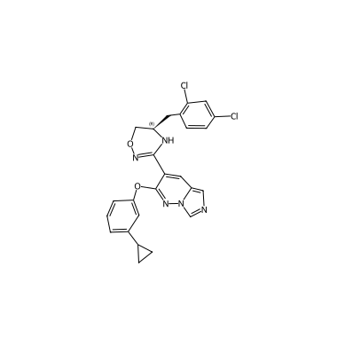 Clc1ccc(C[C@@H]2CON=C(c3cc4cncn4nc3Oc3cccc(C4CC4)c3)N2)c(Cl)c1